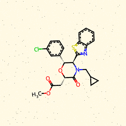 COC(=O)C[C@@H]1O[C@H](c2cccc(Cl)c2)[C@@H](c2nc3ccccc3s2)N(CC2CC2)C1=O